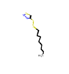 CCCCCCCCSSc1csnn1